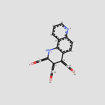 O=C=C1Nc2c(ccc3ncccc23)C(=C=O)C1=C=O